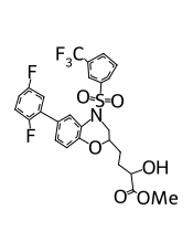 COC(=O)C(O)CCC1CN(S(=O)(=O)c2cccc(C(F)(F)F)c2)c2cc(-c3cc(F)ccc3F)ccc2O1